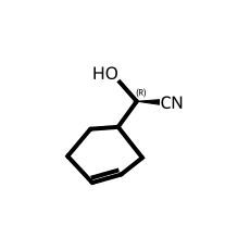 N#C[C@H](O)C1CC=CCC1